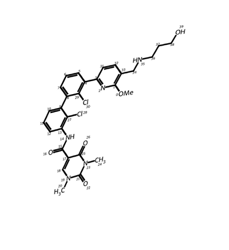 COc1nc(-c2cccc(-c3cccc(NC(=O)c4cn(C)c(=O)n(C)c4=O)c3Cl)c2Cl)ccc1CNCCCO